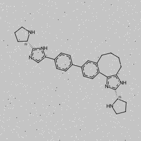 c1cc(-c2cnc([C@@H]3CCCN3)[nH]2)ccc1-c1ccc2c(c1)CCCCc1[nH]c([C@@H]3CCCN3)nc1-2